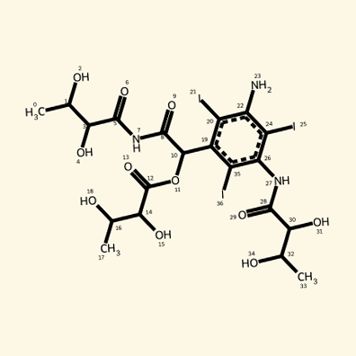 CC(O)C(O)C(=O)NC(=O)C(OC(=O)C(O)C(C)O)c1c(I)c(N)c(I)c(NC(=O)C(O)C(C)O)c1I